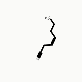 CCC/C=C\CC#N